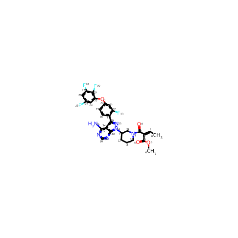 CC=C(C(=O)OC)C(=O)N1CCCC(n2nc(-c3ccc(Oc4cc(F)cc(F)c4F)cc3F)c3c(N)ncnc32)C1